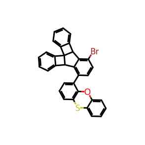 Brc1ccc(-c2cccc3c2Oc2ccccc2S3)c2c1C1c3ccccc3C13c1ccccc1C23